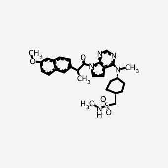 CNS(=O)(=O)C[C@H]1CC[C@H](N(C)c2ncnc3c2ccn3C(=O)C(C)c2ccc3cc(OC)ccc3c2)CC1